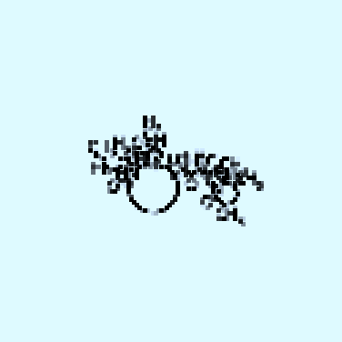 C=CCNC(=O)C(=O)[C@@H]1CCCCCCCCC[C@H](NC(=O)N[C@H](CN2C(=O)C(=C)CCC(C)C2=O)C(C)(C)C)C(=O)N2C[C@H]3[C@@H]([C@H]2C(=O)N1)C3(C)C